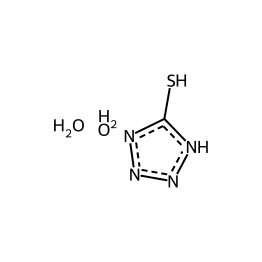 O.O.Sc1nnn[nH]1